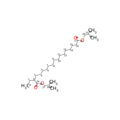 CCC(CCCCCCCCCCCCCCC(=O)OCC(C)C)C(=O)OCC(C)C